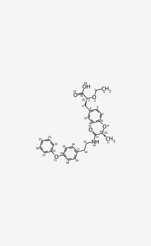 CCO[C@@H](Cc1ccc(O[C@@H](C)C(=O)NCCc2ccc(Oc3ccccc3)cc2)cc1)C(=O)O